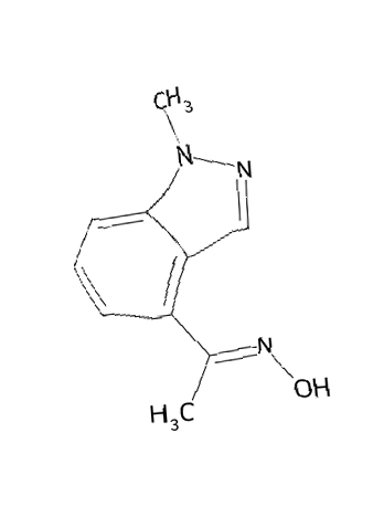 CC(=NO)c1cccc2c1cnn2C